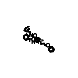 O=C(O[C@H]1C[N+]2(CCCOc3ccccc3)CCC1CC2)N(Cc1cccs1)c1ccccc1F